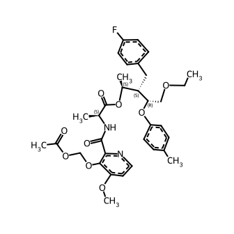 CCOC[C@H](Oc1ccc(C)cc1)[C@@H](Cc1ccc(F)cc1)[C@H](C)OC(=O)[C@H](C)NC(=O)c1nccc(OC)c1OCOC(C)=O